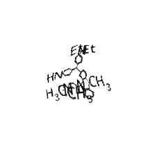 CCN(CC)c1ccc(C(=C2C=CC(=N)C=C2)c2ccc3c(c2)N(CCCN(C)C)c2ccccc2C3C)cc1